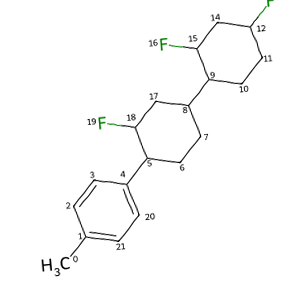 Cc1ccc(C2CCC(C3CCC(F)CC3F)CC2F)cc1